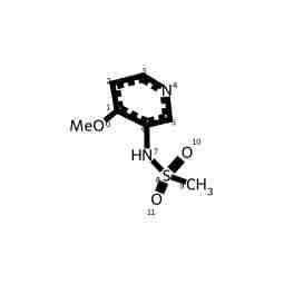 COc1ccncc1NS(C)(=O)=O